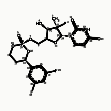 C[C@@]1(F)[C@H](O)C(CO[P@]2(=O)OCC[C@H](c3cc(F)cc(F)c3)O2)O[C@H]1n1ccc(=O)[nH]c1=O